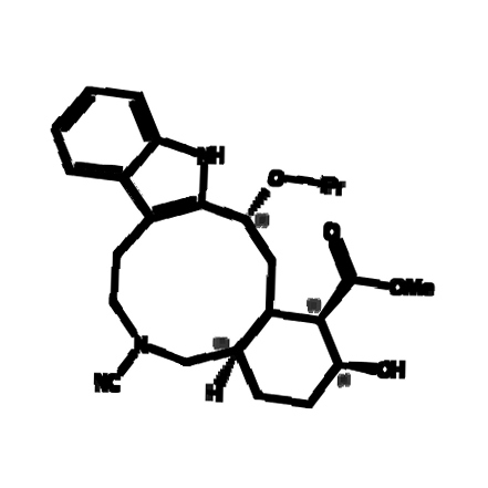 COC(=O)[C@@H]1C2C[C@@H](OC(C)C)c3[nH]c4ccccc4c3CCN(C#N)C[C@@H]2CC[C@@H]1O